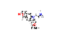 COC(=O)Cc1c(C)n(CCN(C)C)c2cc(C(F)(F)F)c(C(C)O)cc12